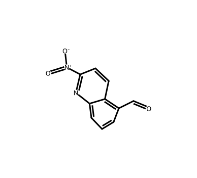 O=Cc1cccc2nc([N+](=O)[O-])ccc12